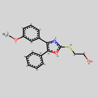 COc1cccc(-c2nc(SCCO)oc2-c2ccccc2)c1